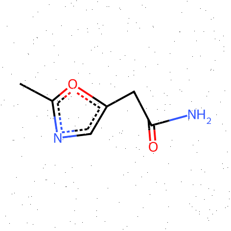 Cc1ncc(CC(N)=O)o1